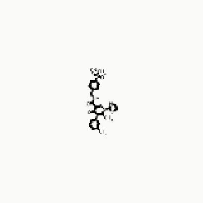 Cc1c(-c2cccc(C(F)(F)F)c2)c(=O)c(C(=O)NCc2ccc(S(C)(=O)=NC#N)cc2)cn1-c1nccs1